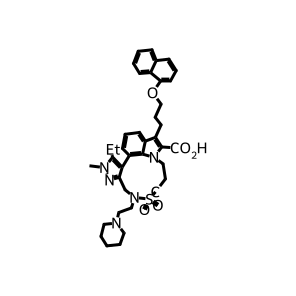 CCc1c2c(nn1C)CN(CCN1CCCCC1)S(=O)(=O)CCCn1c(C(=O)O)c(CCCOc3cccc4ccccc34)c3cccc-2c31